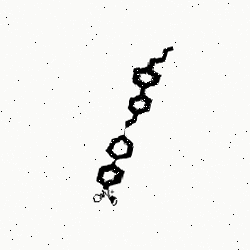 CCCCc1ccc(-c2ccc(C=C[C@H]3CC[C@H](c4ccc([N+](=O)[O-])cc4)CC3)cc2)cc1